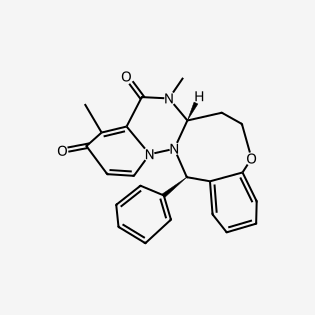 Cc1c2n(ccc1=O)N1[C@H](c3ccccc3)c3ccccc3OCC[C@H]1N(C)C2=O